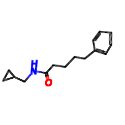 O=C(CCCCc1ccccc1)NCC1CC1